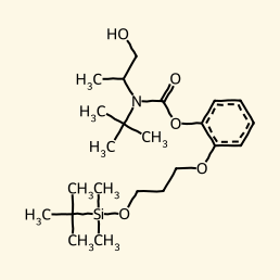 CC(CO)N(C(=O)Oc1ccccc1OCCCO[Si](C)(C)C(C)(C)C)C(C)(C)C